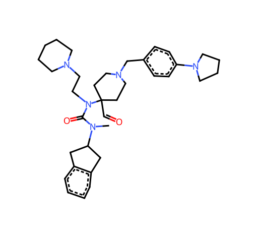 CN(C(=O)N(CCN1CCCCC1)C1(C=O)CCN(Cc2ccc(N3CCCC3)cc2)CC1)C1Cc2ccccc2C1